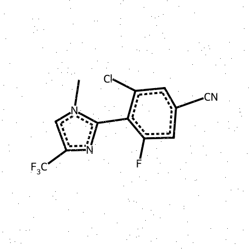 Cn1cc(C(F)(F)F)nc1-c1c(F)cc(C#N)cc1Cl